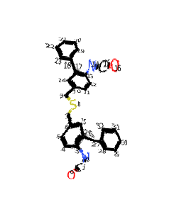 O=C=Nc1ccc(CSCc2ccc(N=C=O)c(-c3ccccc3)c2)cc1-c1ccccc1